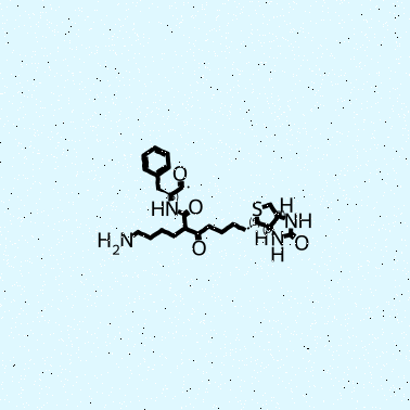 NCCCCC(C(=O)CCCC[C@@H]1SC[C@@H]2NC(=O)N[C@@H]21)C(=O)N[C@H]([C]=O)Cc1ccccc1